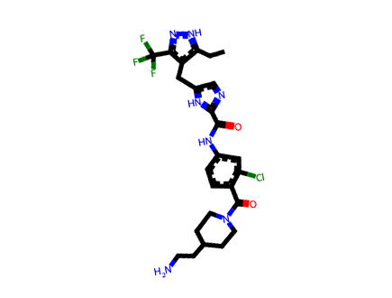 CCc1[nH]nc(C(F)(F)F)c1Cc1cnc(C(=O)Nc2ccc(C(=O)N3CCC(CCN)CC3)c(Cl)c2)[nH]1